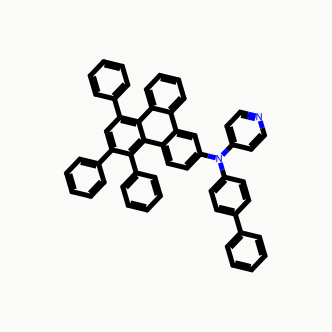 c1ccc(-c2ccc(N(c3ccncc3)c3ccc4c(c3)c3ccccc3c3c(-c5ccccc5)cc(-c5ccccc5)c(-c5ccccc5)c43)cc2)cc1